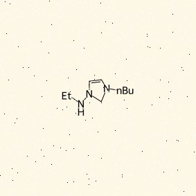 CCCCN1C=CN(NCC)C1